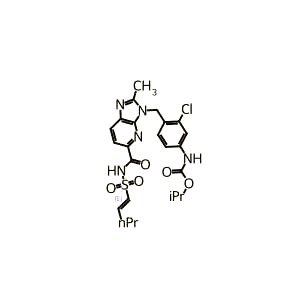 CCC/C=C/S(=O)(=O)NC(=O)c1ccc2nc(C)n(Cc3ccc(NC(=O)OC(C)C)cc3Cl)c2n1